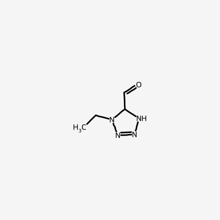 CCN1N=NNC1C=O